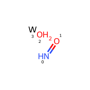 N=O.O.[W]